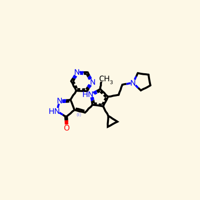 Cc1[nH]c(/C=C2/C(=O)NN=C2c2cncnc2)c(C2CC2)c1CCN1CCCC1